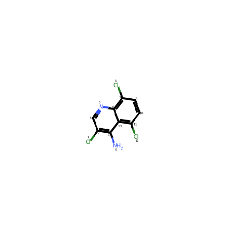 Nc1c(Cl)cnc2c(Cl)ccc(Cl)c12